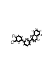 Fc1ccc(-c2cccc(-c3ncc4ccccc4n3)n2)cc1Cl